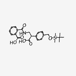 CC(C)(C)[Si](C)(C)OCc1ccc(C(CNC(=O)c2ccccc2C(=O)O)C(=O)O)cc1